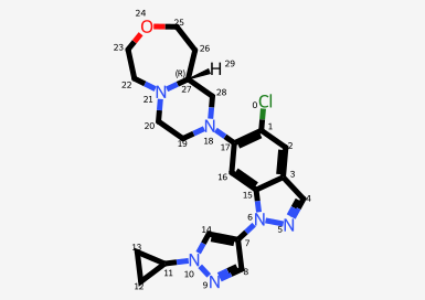 Clc1cc2cnn(-c3cnn(C4CC4)c3)c2cc1N1CCN2CCOCC[C@@H]2C1